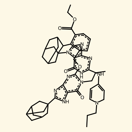 CCCN1C=CC(Nc2nc3ncn(C45CC6CC(CC(C6)C4c4c(COc6nc7nc(C89CC%10CC(C8)C(C%10)C9)[nH]c7c(=O)n6CCC)cccc4C(=O)OCC)C5)c3c(=O)[nH]2)=CC1